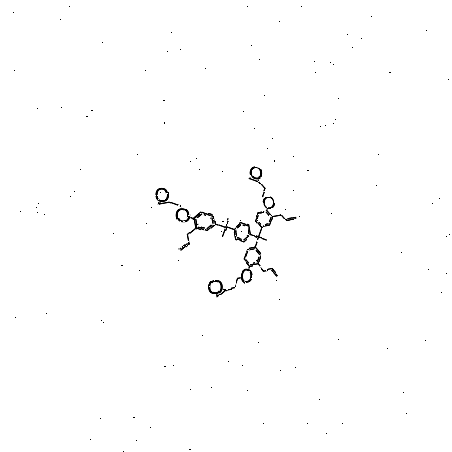 C=CCc1cc(C(C)(c2ccc(C(C)(C)c3ccc(OCC4CO4)c(CC=C)c3)cc2)c2ccc(OCCC3CO3)c(CC=C)c2)ccc1OCCC1CO1